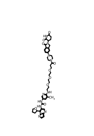 Cc1cc(NC(=O)Nc2cnc3ccnn3c2C2CCCO2)cnc1NCCOCCOCCOCCC(=O)N1CCN(c2ccc3c(c2)CN(C2CCC(=O)NC2=O)C3=O)CC1